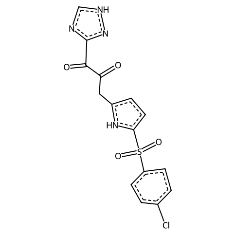 O=C(Cc1ccc(S(=O)(=O)c2ccc(Cl)cc2)[nH]1)C(=O)c1nc[nH]n1